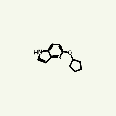 c1cc2nc(OC3CCCC3)ccc2[nH]1